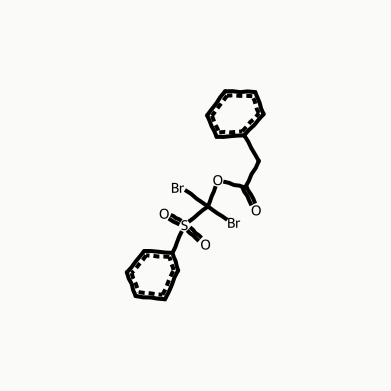 O=C(Cc1ccccc1)OC(Br)(Br)S(=O)(=O)c1ccccc1